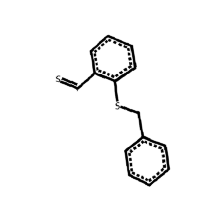 S=[C]c1ccccc1SCc1ccccc1